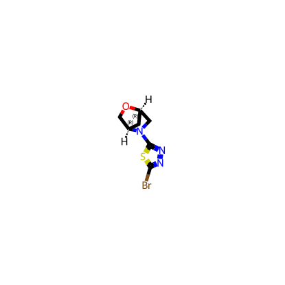 Brc1nnc(N2C[C@H]3C[C@@H]2CO3)s1